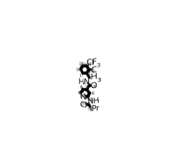 Cc1c(CNC(=O)c2ccnc(NC(=O)C(C)C)c2)cccc1C(F)(F)F